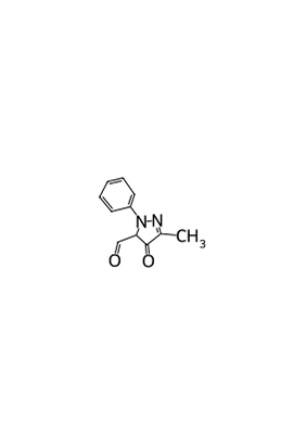 CC1=NN(c2ccccc2)C(C=O)C1=O